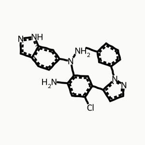 Cc1cccc(-n2nccc2-c2cc(N(N)c3ccc4cn[nH]c4c3)c(N)cc2Cl)c1